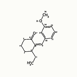 CCC1CCCC(=O)C1=Cc1cccc(OC)c1